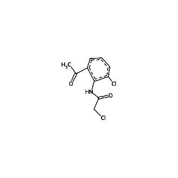 CC(=O)c1cccc(Cl)c1NC(=O)CCl